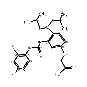 CC(C)CN(CC(C)C)c1ccc(SCC(=O)O)cc1NC(=O)Nc1ccc(F)cc1F